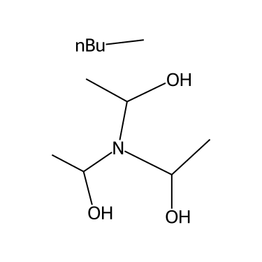 CC(O)N(C(C)O)C(C)O.CCCCC